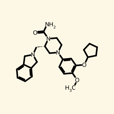 COc1ccc(N2CCN(C(N)=O)[C@@H](CN3Cc4ccccc4C3)C2)cc1OC1CCCC1